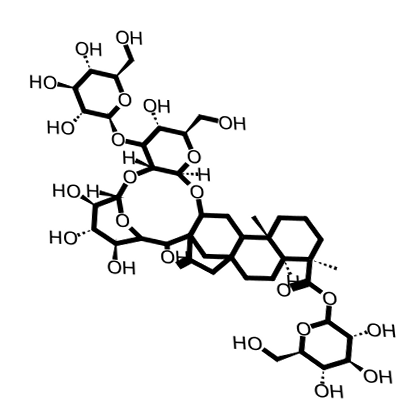 C=C1CC23CC[C@@H]4[C@](C)(C(=O)OC5O[C@H](CO)[C@@H](O)[C@H](O)[C@H]5O)CCC[C@@]4(C)C2CC2O[C@@H]4O[C@H](CO)[C@@H](O)C(O[C@@H]5O[C@H](CO)[C@@H](O)[C@H](O)[C@H]5O)[C@H]4O[C@@H]4OC(C(O)C12C3)[C@@H](O)[C@H](O)[C@H]4O